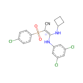 N#C/C(=C(/Nc1cc(Cl)cc(Cl)c1)NC1CCC1)S(=O)(=O)c1ccc(Cl)cc1